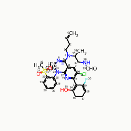 C=CCCN(/C(=N/C)c1cc(Cl)c(C2=C(O)CCC=C2F)nc1N(C=O)c1ccccc1S(C)(=O)=O)C(C)CNC=O